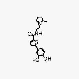 COc1cc(-c2ccc(C(=O)NCCN3CCCC3C)s2)ccc1O